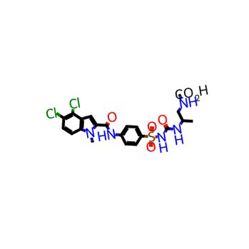 CC(CNC(=O)O)NC(=O)NS(=O)(=O)c1ccc(NC(=O)c2cc3c(Cl)c(Cl)ccc3n2C)cc1